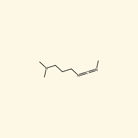 CN=C=NCCCN(C)C